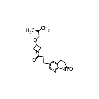 C=C(C)COC1CN(C(=O)C=Cc2cnc3c(c2)CCC(=O)N3)C1